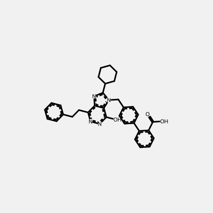 O=C(O)c1ccccc1-c1ccc(Cn2c(C3CCCCC3)nc3c(CCc4ccccc4)nnc(O)c32)cc1